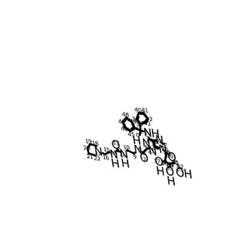 CC(Nc1nc(C(=O)NCCNC(=O)NCCN2CCCCC2)nc2c1ncn2[C@@H]1O[C@H](CO)[C@@H](O)[C@H]1O)(c1ccccc1)c1ccccc1